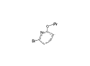 CC(C)Oc1[c]ccc(Br)n1